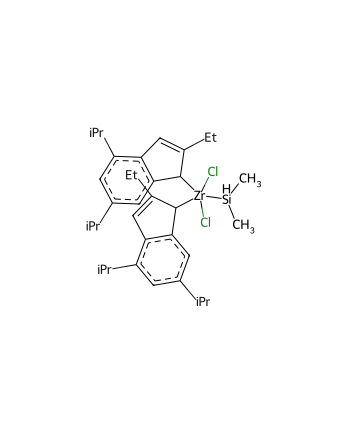 CCC1=Cc2c(C(C)C)cc(C(C)C)cc2[CH]1[Zr]([Cl])([Cl])([CH]1C(CC)=Cc2c(C(C)C)cc(C(C)C)cc21)[SiH](C)C